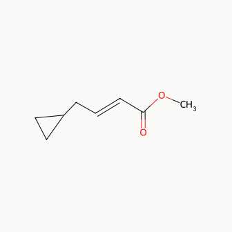 COC(=O)C=CCC1CC1